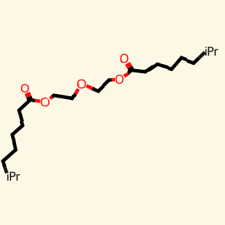 CC(C)CCCCCC(=O)OCCOCCOC(=O)CCCCCC(C)C